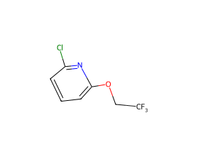 FC(F)(F)COc1cccc(Cl)n1